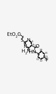 CCOC(=O)CSc1ncc(C(=O)Nc2ccc(F)cc2)c(N)n1